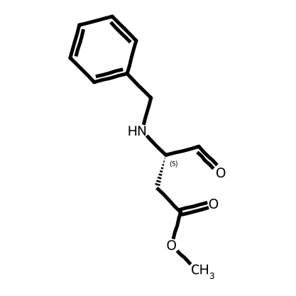 COC(=O)C[C@@H](C=O)NCc1ccccc1